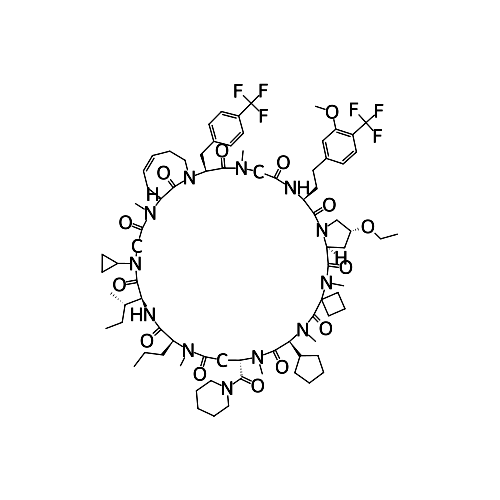 CCC[C@H]1C(=O)N[C@@H]([C@@H](C)CC)C(=O)N(C2CC2)CC(=O)N(C)[C@H]2C/C=C\CCN(C2=O)[C@@H](Cc2ccc(C(F)(F)F)cc2)C(=O)N(C)CC(=O)N[C@@H](CCc2ccc(C(F)(F)F)c(OC)c2)C(=O)N2C[C@H](OCC)C[C@H]2C(=O)N(C)C2(CCC2)C(=O)N(C)[C@@H](C2CCCC2)C(=O)N(C)[C@H](C(=O)N2CCCCC2)CC(=O)N1C